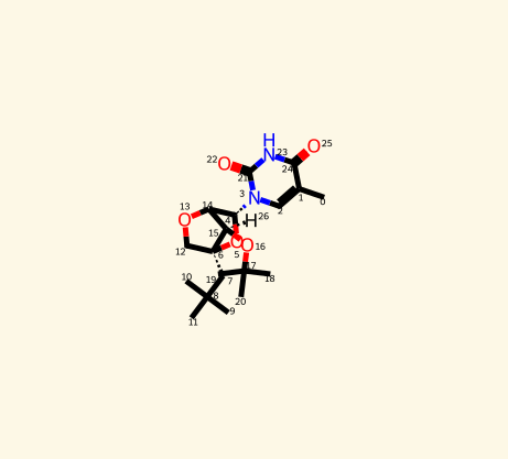 Cc1cn([C@@H]2O[C@@]3(CC(C)(C)C)COC2[C@H]3OC(C)(C)C)c(=O)[nH]c1=O